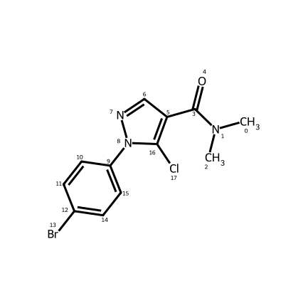 CN(C)C(=O)c1cnn(-c2ccc(Br)cc2)c1Cl